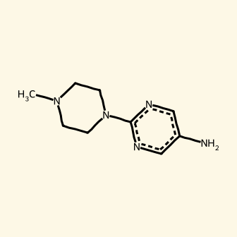 CN1CCN(c2ncc(N)cn2)CC1